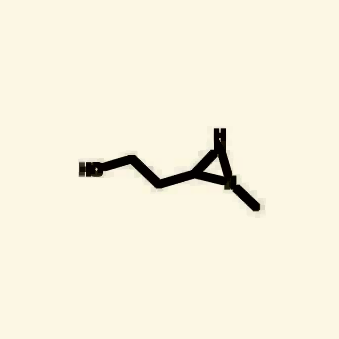 CN1NC1CCO